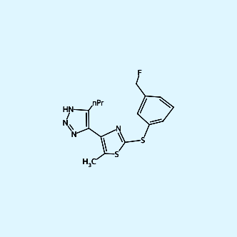 CCCc1[nH]nnc1-c1nc(Sc2cccc(CF)c2)sc1C